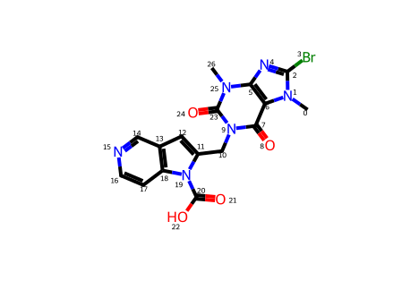 Cn1c(Br)nc2c1c(=O)n(Cc1cc3cnccc3n1C(=O)O)c(=O)n2C